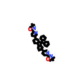 CC1(C)COC(c2ccc(-c3ccc4c(c3)C(c3ccccc3)(c3ccccc3)c3cc(-c5ccc(C6=NC(C)(C)CO6)nc5)ccc3-4)cn2)=N1